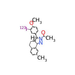 COc1ccc([C@@H]2[C@@H]3CCc4ccc(C)cc4C3=NN2C(C)=O)cc1[123I]